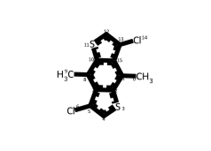 Cc1c2scc(Cl)c2c(C)c2scc(Cl)c12